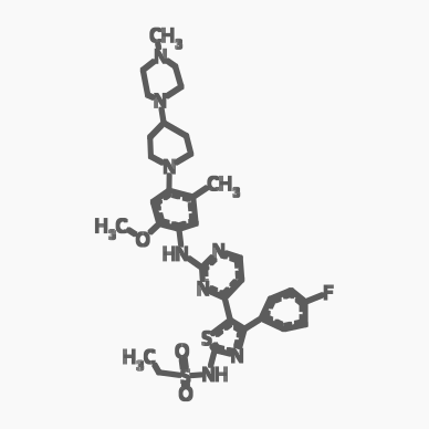 CCS(=O)(=O)Nc1nc(-c2ccc(F)cc2)c(-c2ccnc(Nc3cc(C)c(N4CCC(N5CCN(C)CC5)CC4)cc3OC)n2)s1